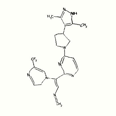 C=N/C=C(/c1nccc(N2CCC(c3c(C)n[nH]c3C)C2)n1)N1C=C(C(F)(F)F)N=CC1